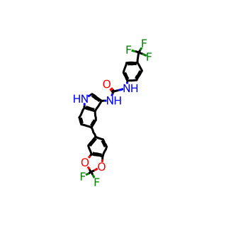 O=C(Nc1ccc(C(F)(F)F)cc1)Nc1c[nH]c2ccc(-c3ccc4c(c3)OC(F)(F)O4)cc12